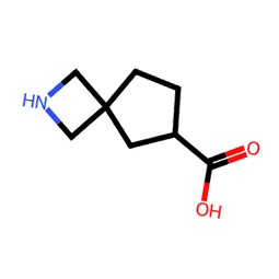 O=C(O)C1CCC2(CNC2)C1